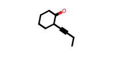 CCC#CC1CCCCC1=O